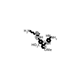 COc1ccc(-c2ccc(C(=O)N[C@@H](CC(C)C)C(=O)NCCCCN)cc2C(=O)O)c(C(=O)Nc2ccc(C(=N)N)cc2)n1